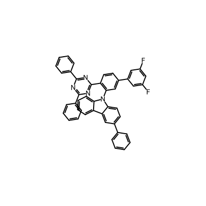 Fc1cc(F)cc(-c2ccc(-c3nc(-c4ccccc4)nc(-c4ccccc4)n3)c(-n3c4ccccc4c4cc(-c5ccccc5)ccc43)c2)c1